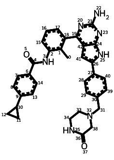 Cc1c(NC(=O)c2ccc(C3CC3)cc2)cccc1-c1nc(N)nc2[nH]c(-c3ccc(CN4CCNC(=O)C4)cc3)cc12